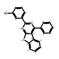 Brc1cccc(-c2nc(-c3ccccc3)c3c(n2)sc2ccccc23)c1